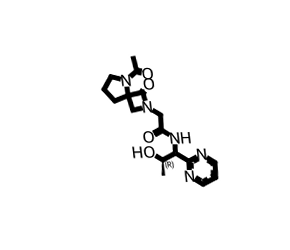 CC(=O)N1CCCC12CN(CC(=O)NC(c1ncccn1)[C@@H](C)O)C2=O